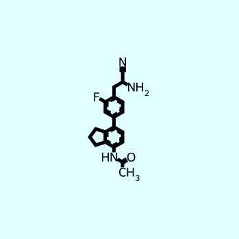 CC(=O)Nc1ccc(-c2ccc(CC(N)C#N)c(F)c2)c2c1CCC2